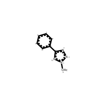 CC(=O)On1nnc(-c2ccccc2)n1